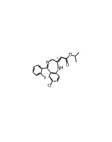 CC(C)OC(=O)/C=C1/CN=C(c2ccccc2F)c2cc(Cl)ccc2N1